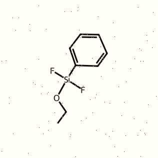 CCO[Si](F)(F)c1ccccc1